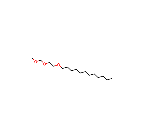 CCCCCCCCCCCCOCCOCOC